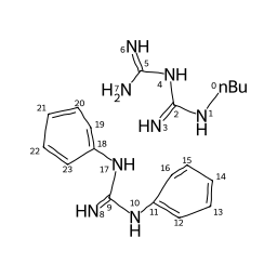 CCCCNC(=N)NC(=N)N.N=C(Nc1ccccc1)Nc1ccccc1